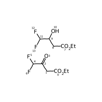 CCOC(=O)CC(=O)C(F)F.CCOC(=O)CC(O)C(F)F